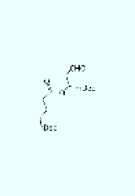 CCCCCCCCCCCCCC(=O)OC(CC=O)CCCCCCCCCC